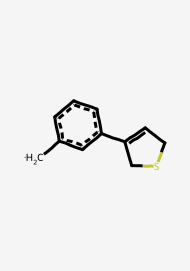 [CH2]c1cccc(C2=CCSC2)c1